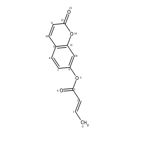 CC=CC(=O)Oc1ccc2ccc(=O)oc2c1